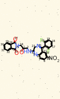 O=C(CNC1=Nc2ccc([N+](=O)[O-])cc2C(c2c(F)cccc2F)=NC1)CN1C(=O)c2ccccc2C1=O